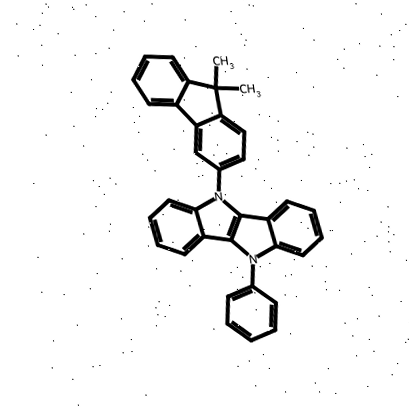 CC1(C)c2ccccc2-c2cc(-n3c4ccccc4c4c3c3ccccc3n4-c3ccccc3)ccc21